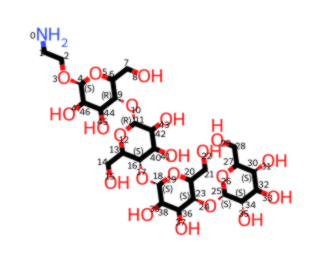 NCCO[C@H]1OC(CO)[C@H](O[C@H]2OC(CO)[C@@H](O[C@@H]3OC(CO)[C@@H](O[C@@H]4OC(CO)[C@@H](O)C(O)[C@@H]4O)C(O)C3O)C(O)C2O)C(O)C1O